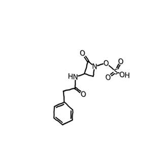 O=C(Cc1ccccc1)NC1CN(OS(=O)(=O)O)C1=O